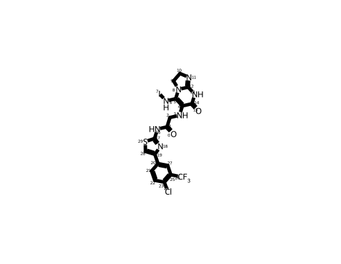 O=C(CNC1=C(NI)N2CCN=C2NC1=O)Nc1nc(-c2ccc(Cl)c(C(F)(F)F)c2)cs1